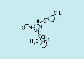 Cc1cccc(/C=N/Nc2cc(N3CCOCC3)nc(OCC(C)(C)c3ccccn3)n2)c1